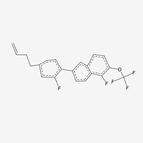 C=CCCc1ccc(-c2ccc3c(F)c(OC(F)(F)F)ccc3c2)c(F)c1